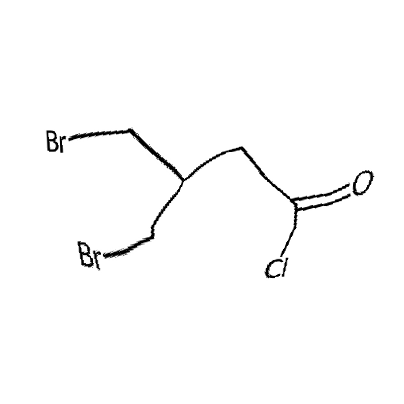 O=C(Cl)CC(CBr)CBr